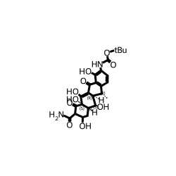 C[C@H]1c2ccc(NC(=O)OC(C)(C)C)c(O)c2C(=O)C2=C(O)[C@]3(O)C(=O)C(C(N)=O)C(O)C[C@@H]3[C@@H](O)[C@@H]21